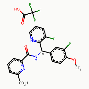 O=C(O)C(F)(F)F.O=C(O)c1cccc(C(=O)N[C@@H](c2ccc(OC(F)(F)F)c(F)c2)c2ncccc2F)n1